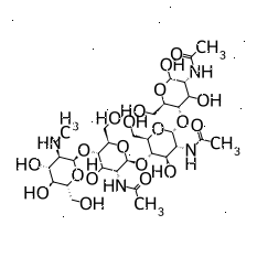 CN[C@H]1[C@@H](O[C@H]2C(O)[C@@H](NC(C)=O)[C@H](O[C@H]3[C@H](O)[C@@H](NC(C)=O)[C@@H](O[C@H]4C(O)[C@@H](NC(C)=O)C(O)O[C@@H]4CO)O[C@@H]3CO)O[C@@H]2CO)O[C@H](CO)[C@@H](O)[C@@H]1O